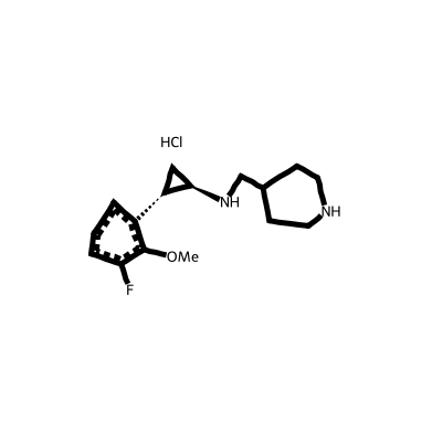 COc1c(F)cccc1[C@@H]1C[C@H]1NCC1CCNCC1.Cl